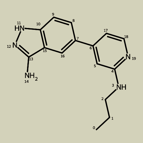 CCCNc1cc(-c2ccc3[nH]nc(N)c3c2)ccn1